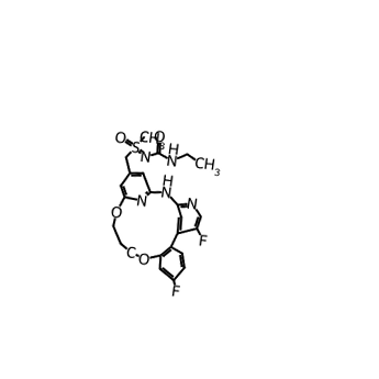 CCNC(=O)N=S(C)(=O)Cc1cc2nc(c1)OCCCOc1cc(F)ccc1-c1cc(ncc1F)N2